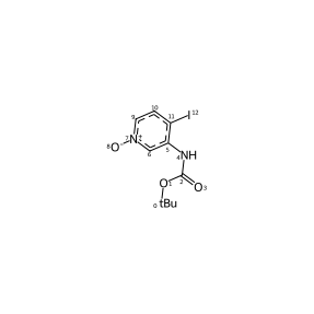 CC(C)(C)OC(=O)Nc1c[n+]([O-])ccc1I